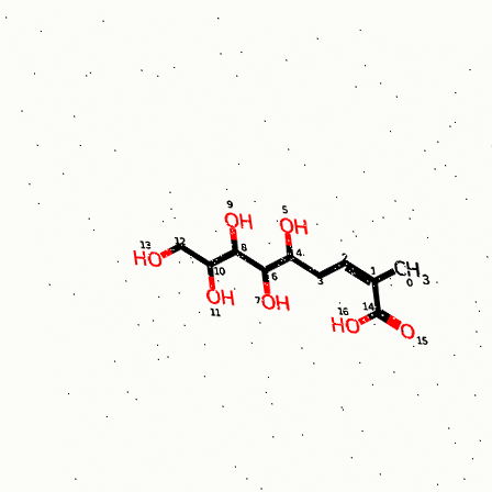 CC(=CCC(O)C(O)C(O)C(O)CO)C(=O)O